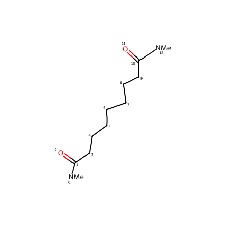 CNC(=O)CCCCCCCC(=O)NC